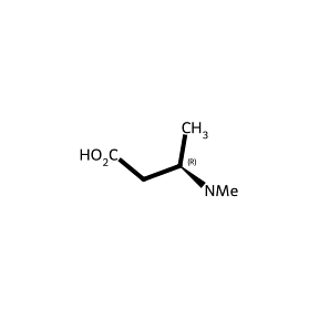 CN[C@H](C)CC(=O)O